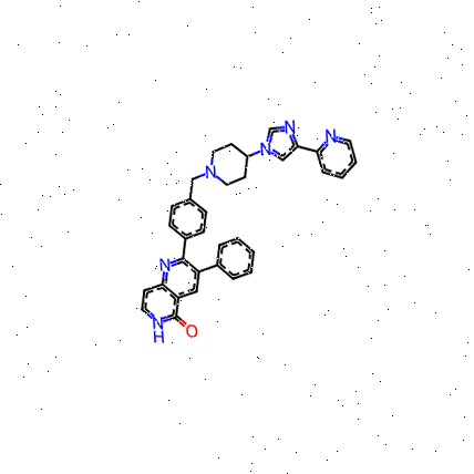 O=c1[nH]ccc2nc(-c3ccc(CN4CCC(n5cnc(-c6ccccn6)c5)CC4)cc3)c(-c3ccccc3)cc12